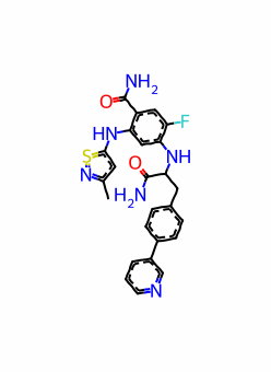 Cc1cc(Nc2cc(NC(Cc3ccc(-c4cccnc4)cc3)C(N)=O)c(F)cc2C(N)=O)sn1